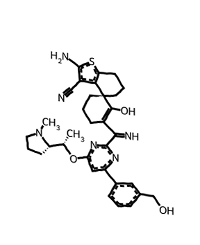 C[C@H](Oc1cc(-c2cccc(CO)c2)nc(C(=N)C2=C(O)[C@@]3(CCC2)CCCc2sc(N)c(C#N)c23)n1)[C@@H]1CCCN1C